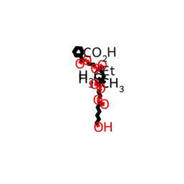 CCC(C)(CC(C)(C)C(=O)OCCOC(=O)CCCCCO)C(=O)OCCOC(=O)c1ccccc1C(=O)O